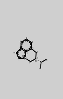 CN(C)[C@H]1Cc2cccc3ccn(c23)C1